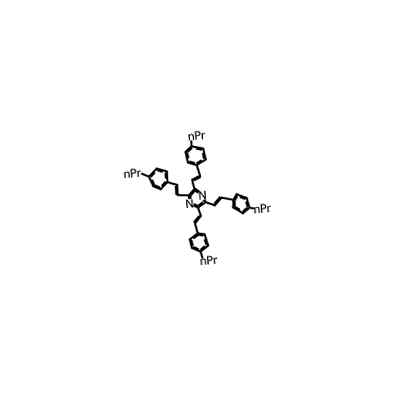 CCCc1ccc(C=Cc2nc(C=Cc3ccc(CCC)cc3)c(C=Cc3ccc(CCC)cc3)nc2C=Cc2ccc(CCC)cc2)cc1